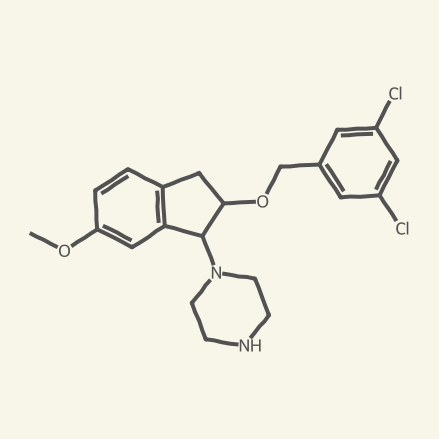 COc1ccc2c(c1)C(N1CCNCC1)C(OCc1cc(Cl)cc(Cl)c1)C2